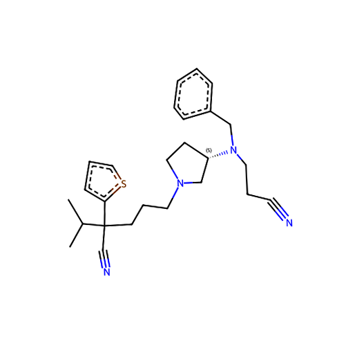 CC(C)C(C#N)(CCCN1CC[C@H](N(CCC#N)Cc2ccccc2)C1)c1cccs1